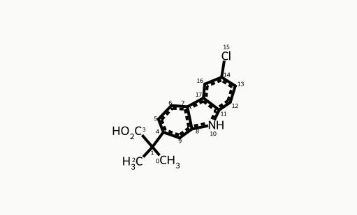 CC(C)(C(=O)O)c1ccc2c(c1)[nH]c1ccc(Cl)cc12